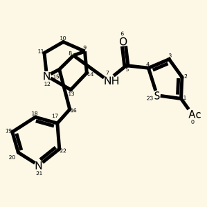 CC(=O)c1ccc(C(=O)NC2C3CCN(CC3)C2Cc2cccnc2)s1